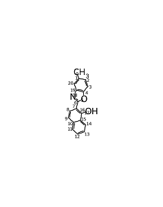 Cc1ccc2oc(-c3ccc4ccccc4c3O)nc2c1